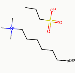 CCCCCCCCCCCCCCCC[N+](C)(C)C.CCCS(=O)(=O)O